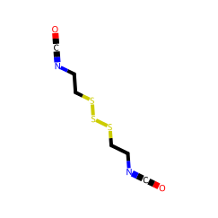 O=C=NCCSSSCCN=C=O